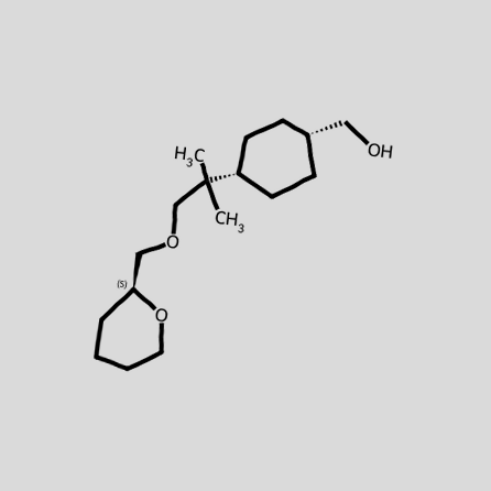 CC(C)(COC[C@@H]1CCCCO1)[C@H]1CC[C@@H](CO)CC1